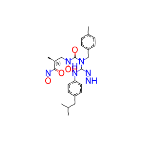 Cc1ccc(CN(C(=O)N(O)C[C@H](C)C(=O)N=O)C(N=N)Nc2ccc(CC(C)C)cc2)cc1